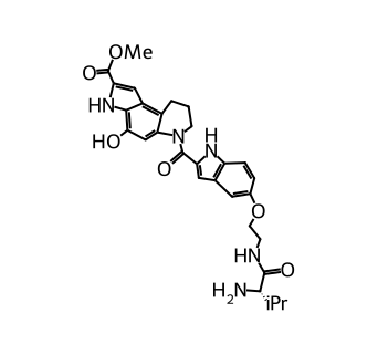 COC(=O)c1cc2c3c(cc(O)c2[nH]1)N(C(=O)c1cc2cc(OCCNC(=O)[C@@H](N)C(C)C)ccc2[nH]1)CCC3